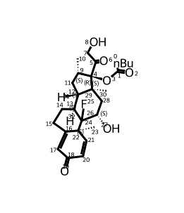 CCCCC(=O)O[C@]1(C(=O)CO)[C@@H](C)C[C@H]2[C@@H]3CCC4=CC(=O)C=C[C@]4(C)C3(F)[C@@H](O)C[C@@]21C